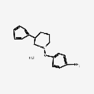 Cl.Nc1ccc(ON2CCCC(c3ccccc3)C2)cc1